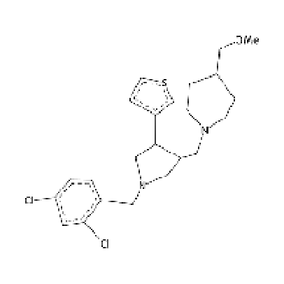 COCC1CCN(CC2CN(Cc3ccc(Cl)cc3Cl)CC2c2ccsc2)CC1